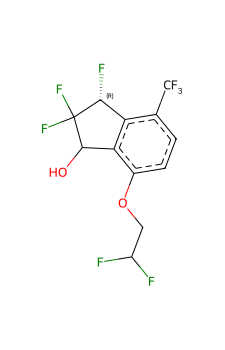 OC1c2c(OCC(F)F)ccc(C(F)(F)F)c2[C@@H](F)C1(F)F